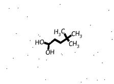 CC(C)(C)CCC(O)O